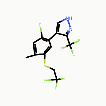 Cc1cc(F)c(-c2c[nH]nc2C(F)(F)F)cc1SCC(F)(F)F